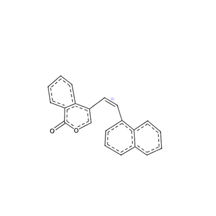 O=c1occ(/C=C\c2cccc3ccccc23)c2ccccc12